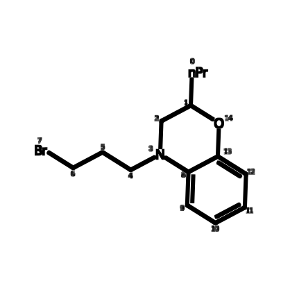 CCCC1CN(CCCBr)c2ccccc2O1